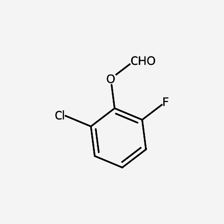 O=COc1c(F)cccc1Cl